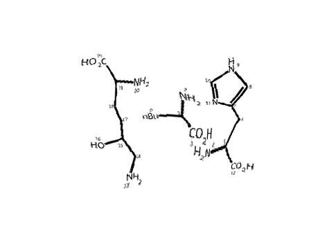 CCCCC(N)C(=O)O.NC(Cc1c[nH]cn1)C(=O)O.NCC(O)CCC(N)C(=O)O